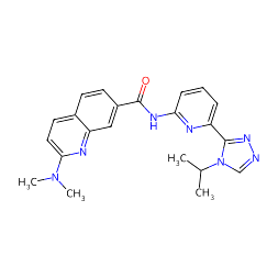 CC(C)n1cnnc1-c1cccc(NC(=O)c2ccc3ccc(N(C)C)nc3c2)n1